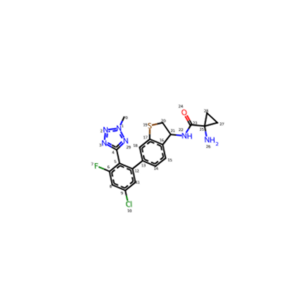 Cn1nnc(-c2c(F)cc(Cl)cc2-c2ccc3c(c2)SCC3NC(=O)C2(N)CC2)n1